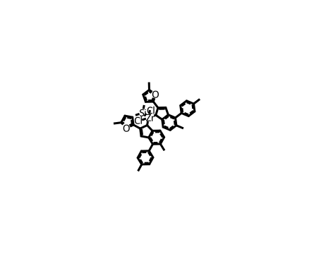 Cc1ccc(-c2c(C)ccc3c2C=C(c2ccc(C)o2)[CH]3[Zr]([Cl])([Cl])([CH]2C(c3ccc(C)o3)=Cc3c2ccc(C)c3-c2ccc(C)cc2)=[Si](C)C)cc1